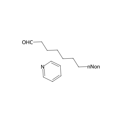 CCCCCCCCCCCCCCCC=O.c1ccncc1